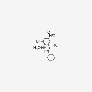 CNc1c(Br)cc([N+](=O)[O-])cc1CNC1CCCCC1.Cl